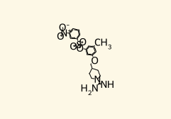 Cc1cc(OCC2CCN(C(=N)N)CC2)cc(OS(=O)(=O)c2cccc([N+](=O)[O-])c2)c1